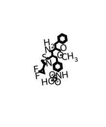 COC(=O)C(Cc1ccccc1)C(N)C(Cc1ccc(NS(=O)(=O)O)cc1)c1nc(C2CC2(F)F)cs1